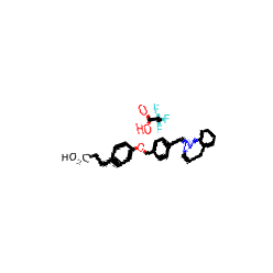 O=C(O)C(F)(F)F.O=C(O)CCc1ccc(OCc2ccc(CN3CCCc4ccccc43)cc2)cc1